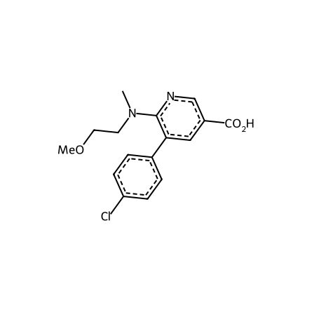 COCCN(C)c1ncc(C(=O)O)cc1-c1ccc(Cl)cc1